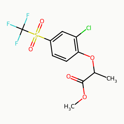 COC(=O)C(C)Oc1ccc(S(=O)(=O)C(F)(F)F)cc1Cl